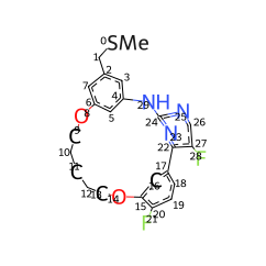 CSCc1cc2cc(c1)OCCCCCOc1cc(ccc1F)-c1nc(ncc1F)N2